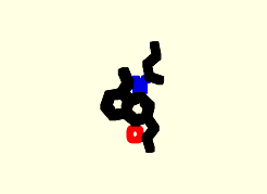 C=c1c2cccc3c4c(cc(c32)n1C(C)CCC)CC(C)O4